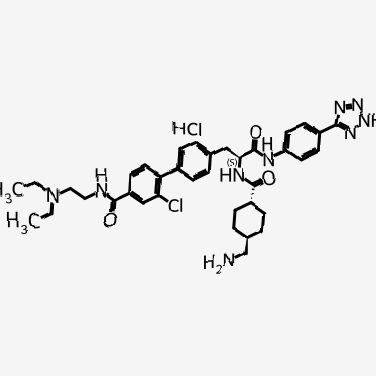 CCN(CC)CCNC(=O)c1ccc(-c2ccc(C[C@H](NC(=O)[C@H]3CC[C@H](CN)CC3)C(=O)Nc3ccc(-c4nn[nH]n4)cc3)cc2)c(Cl)c1.Cl